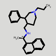 CCCN1CCC(CN[C@H](C)c2cccc3ccccc23)C(c2ccccc2)C1